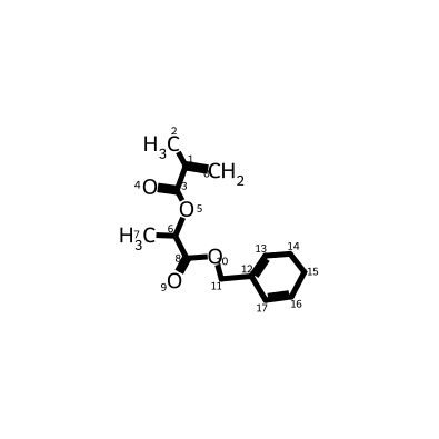 C=C(C)C(=O)OC(C)C(=O)OCC1=CCCC=C1